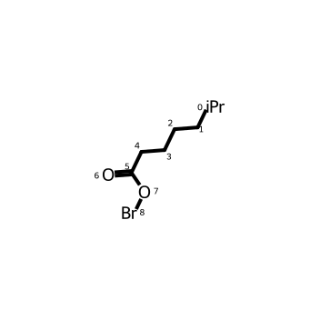 CC(C)CCCCC(=O)OBr